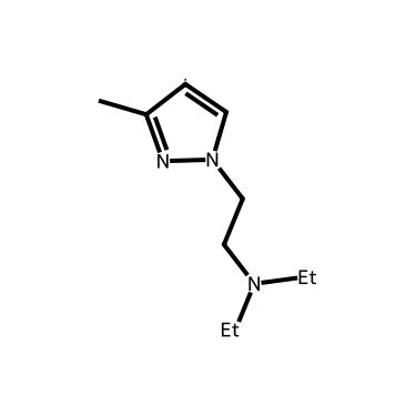 CCN(CC)CCn1c[c]c(C)n1